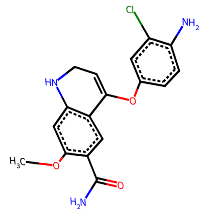 COc1cc2c(cc1C(N)=O)C(Oc1ccc(N)c(Cl)c1)=CCN2